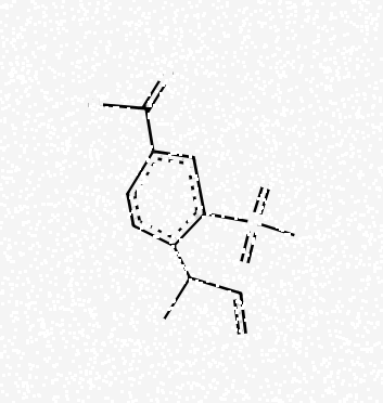 C=CC(C)c1ccc(C(=O)Cl)cc1S(C)(=O)=O